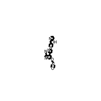 N#Cc1cnn2cc(OCCN3CCOCC3)cc(-c3ccc(N4CCC(O)(Cc5ccccn5)CC4)nc3)c12